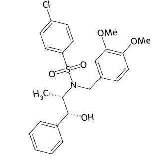 COc1ccc(CN([C@@H](C)[C@H](O)c2ccccc2)S(=O)(=O)c2ccc(Cl)cc2)cc1OC